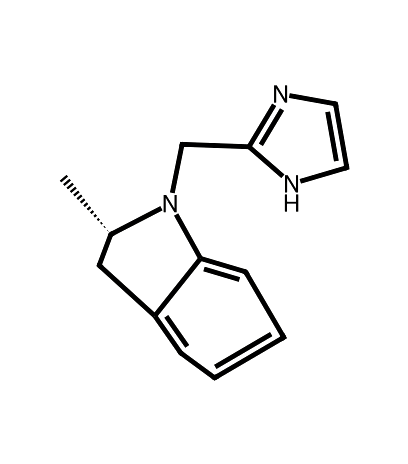 C[C@H]1Cc2ccccc2N1Cc1ncc[nH]1